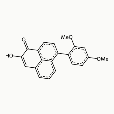 COc1ccc(-c2ccc3c4c(cccc24)C=C(O)C3=O)c(OC)c1